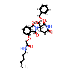 CCCCCNC(=O)COc1cccc2c1C(=O)N(C1(C(=O)OCc3ccccc3)CCC(=O)NC1=O)C2=O